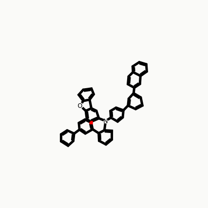 c1ccc(-c2cccc(-c3ccccc3N(c3ccc(-c4cccc(-c5ccc6ccccc6c5)c4)cc3)c3ccc4oc5ccccc5c4c3)c2)cc1